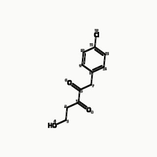 O=C(CCO)C(=O)Cc1ccc(Cl)cc1